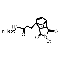 CCCCCCCNC(=O)CCC12C=CC(O1)C1C(=O)N(CC)C(=O)C12